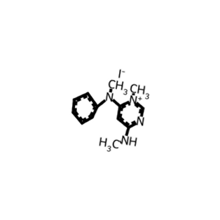 CNc1cc(N(C)c2ccccc2)[n+](C)cn1.[I-]